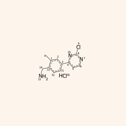 Cc1cc(-c2ccnc(Cl)n2)ccc1CN.Cl